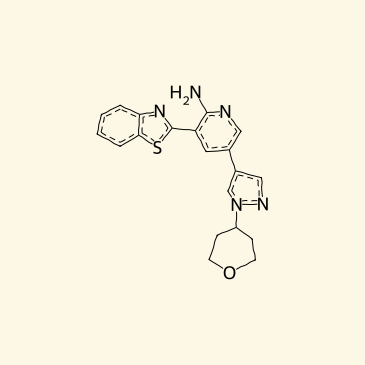 Nc1ncc(-c2cnn(C3CCOCC3)c2)cc1-c1nc2ccccc2s1